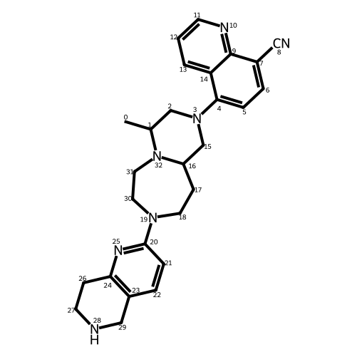 CC1CN(c2ccc(C#N)c3ncccc23)CC2CCN(c3ccc4c(n3)CCNC4)CCN12